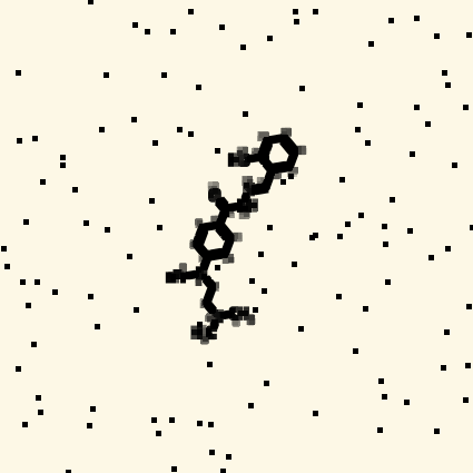 CCCN(CCN(C)C)c1ccc(C(=O)N/N=C/c2ccccc2O)cc1